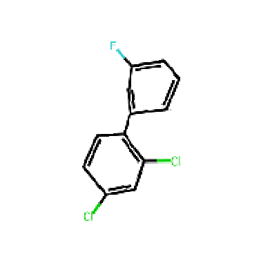 Fc1cc[c]c(-c2ccc(Cl)cc2Cl)c1